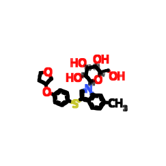 Cc1ccc2c(Sc3ccc(OC4CCOC4)cc3)cn([C@@H]3O[C@H](CO)[C@@H](O)[C@H](O)[C@H]3O)c2c1